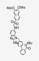 CCCCc1nc2ccc(NCS(=O)(=O)c3ccc4cc(OC)c(OC)cc4c3)cc2n1Cc1ccc(-c2ccccc2C(=O)OC(C)(C)C)cc1